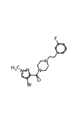 Cn1cc(Br)c(C(=O)N2CCN(CCc3cccc(F)c3)CC2)n1